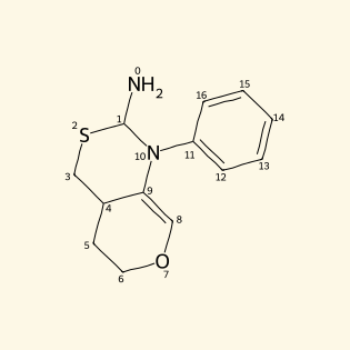 NC1SCC2CCOC=C2N1c1ccccc1